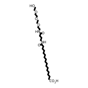 O=C(O)CCCCCCCCCCCCCCCCC(=O)NCCCC(=O)NCCOCCOCCOCCO